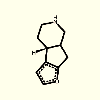 c1cc2c(o1)CC1CNCC[C@@H]21